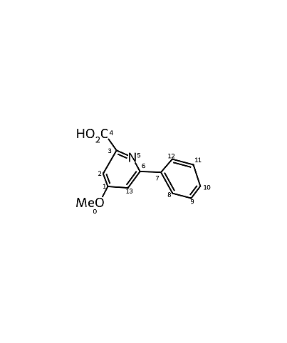 COc1cc(C(=O)O)nc(-c2ccccc2)c1